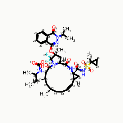 CCC(C)N(C(=O)O)[C@@H]1C(=O)N2[C@@H](C[C@@](C)(Oc3nn(C(C)C)c(=O)c4ccccc34)C2(F)F)C(=O)N[C@]2(C(=O)NS(=O)(=O)C3(C)CC3)C[C@H]2/C=C\CC[C@@H](C)C[C@H]1C